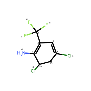 NC1=C(C(F)(F)F)C=C(Cl)[CH]C1Cl